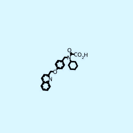 O=C(O)C(=O)N(Cc1ccc(OCc2ccc3ccccc3n2)cc1)C1CCCCC1